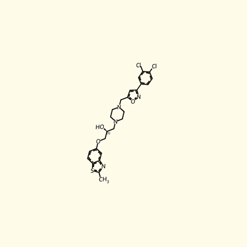 Cc1nc2cc(OC[C@@H](O)CN3CCN(Cc4cc(-c5ccc(Cl)c(Cl)c5)no4)CC3)ccc2s1